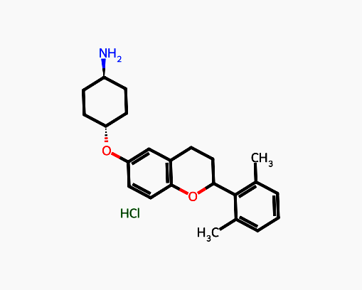 Cc1cccc(C)c1C1CCc2cc(O[C@H]3CC[C@H](N)CC3)ccc2O1.Cl